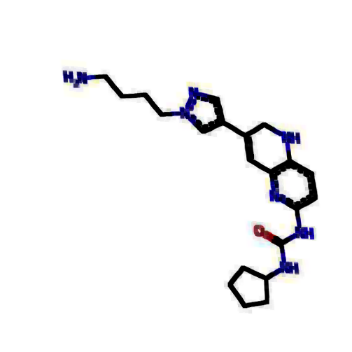 NCCCCn1cc(C2=Cc3nc(NC(=O)NC4CCCC4)ccc3NC2)cn1